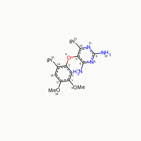 COc1cc(Oc2c(N)nc(N)nc2C(C)C)c(C(C)C)cc1OC